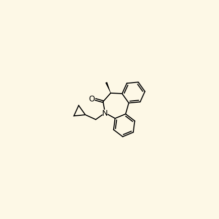 C[C@@H]1C(=O)N(CC2CC2)c2ccccc2-c2ccccc21